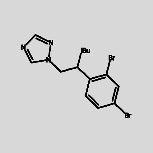 CCC(C)C(Cn1cncn1)c1ccc(Br)cc1Br